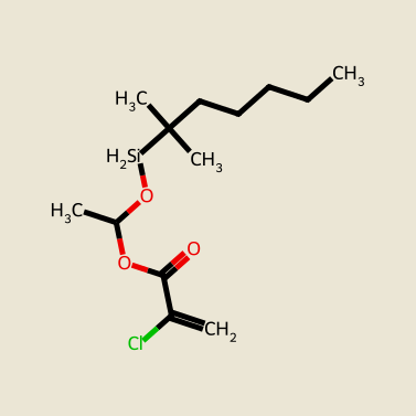 C=C(Cl)C(=O)OC(C)O[SiH2]C(C)(C)CCCCC